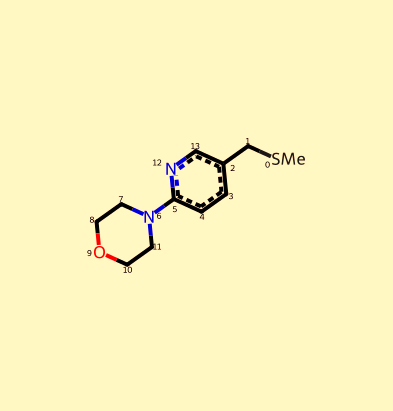 CSCc1ccc(N2CCOCC2)nc1